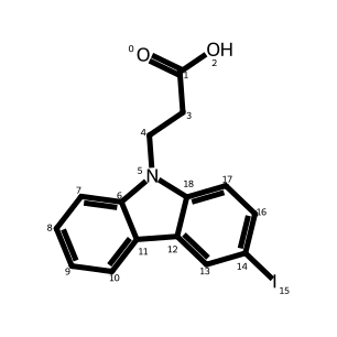 O=C(O)CCn1c2ccccc2c2cc(I)ccc21